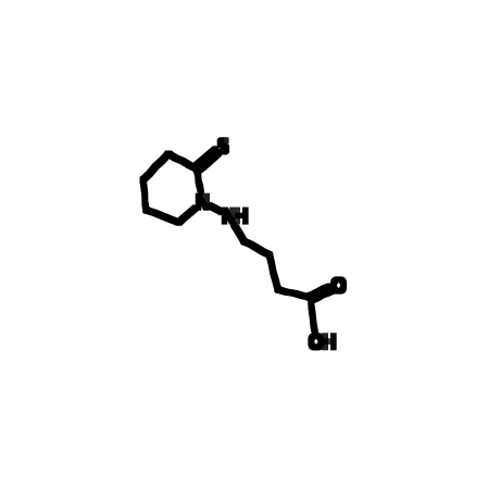 O=C(O)CCCNN1CCCCC1=S